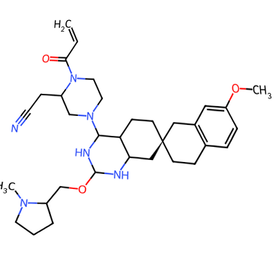 C=CC(=O)N1CCN(C2NC(OCC3CCCN3C)NC3C[C@@]4(CCc5ccc(OC)cc5C4)CCC32)CC1CC#N